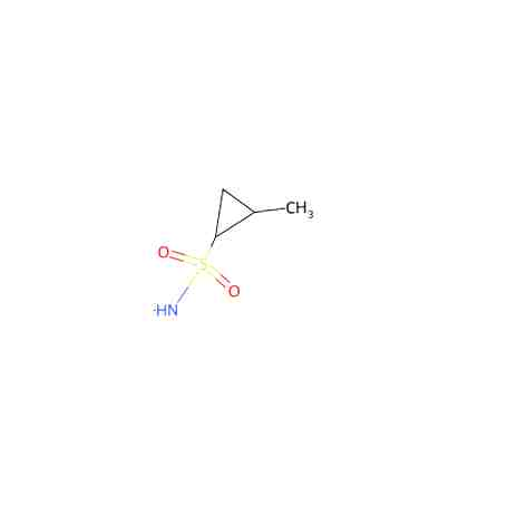 CC1CC1S([NH])(=O)=O